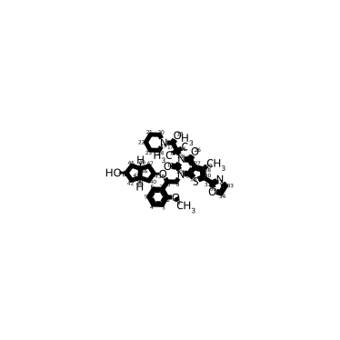 COc1ccccc1C(Cn1c(=O)n(C(C)(C)C(=O)N2CCCCC2)c(=O)c2c(C)c(-c3ncco3)sc21)O[C@H]1C[C@H]2C[C@@H](O)C[C@H]2C1